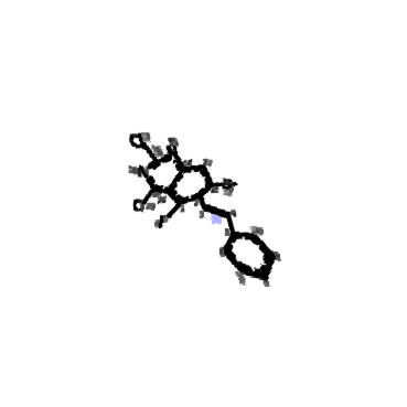 Fc1c(/C=C/c2ccccc2)c(Br)cc2nc(Cl)nc(Cl)c12